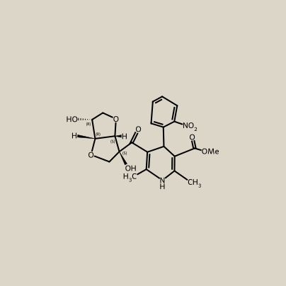 COC(=O)C1=C(C)NC(C)=C(C(=O)[C@]2(O)CO[C@@H]3[C@H](O)CO[C@@H]32)C1c1ccccc1[N+](=O)[O-]